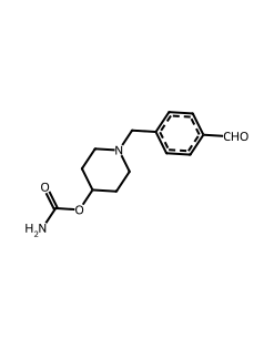 NC(=O)OC1CCN(Cc2ccc(C=O)cc2)CC1